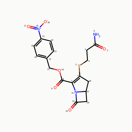 NC(=O)CCSC1=C(C(=O)OCc2ccc([N+](=O)[O-])cc2)N2C(=O)CC2C1